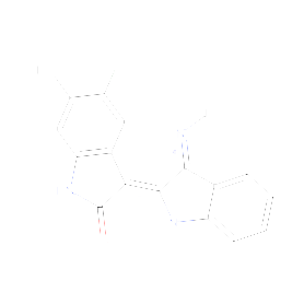 CC/N=C1/C(=C2/C(=O)Nc3cc(C)c(Cl)cc32)Nc2ccccc21